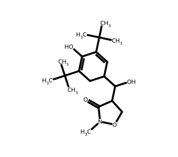 CN1OCC(C(O)C2C=C(C(C)(C)C)C(O)=C(C(C)(C)C)C2)C1=O